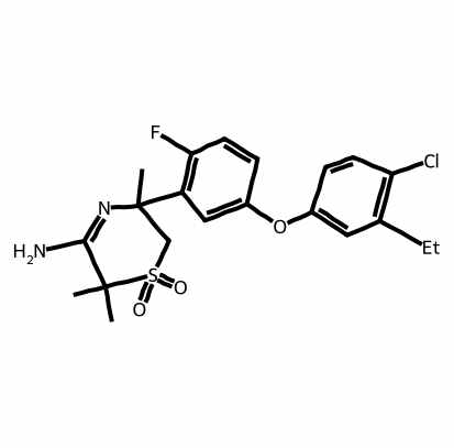 CCc1cc(Oc2ccc(F)c(C3(C)CS(=O)(=O)C(C)(C)C(N)=N3)c2)ccc1Cl